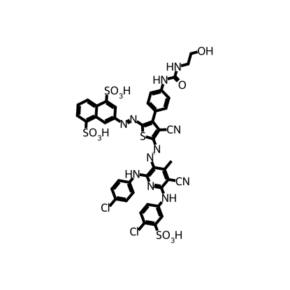 Cc1c(C#N)c(Nc2ccc(Cl)c(S(=O)(=O)O)c2)nc(Nc2ccc(Cl)cc2)c1N=Nc1sc(/N=N/c2cc(S(=O)(=O)O)c3cccc(S(=O)(=O)O)c3c2)c(-c2ccc(NC(=O)NCCO)cc2)c1C#N